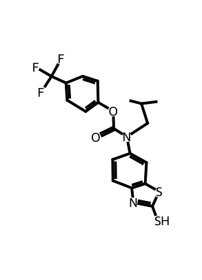 CC(C)CN(C(=O)Oc1ccc(C(F)(F)F)cc1)c1ccc2nc(S)sc2c1